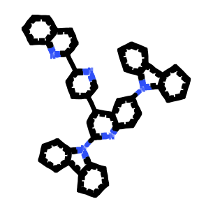 c1ccc2nc(-c3ccc(-c4cc(-n5c6ccccc6c6ccccc65)nc5ccc(-n6c7ccccc7c7ccccc76)cc45)cn3)ccc2c1